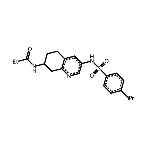 CCC(=O)NC1CCc2cc(NS(=O)(=O)c3ccc(C(C)C)cc3)cnc2C1